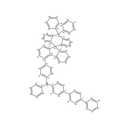 c1ccc(-c2ccc(-c3ccc(N(c4ccccc4)c4ccc(-c5cccc6c5-c5ccccc5C65c6ccccc6C(c6ccccc6)(c6ccccc6)c6ccccc65)cc4)cc3)cc2)cc1